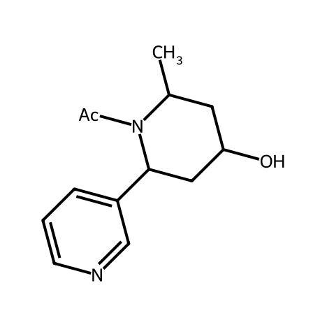 CC(=O)N1C(C)CC(O)CC1c1cccnc1